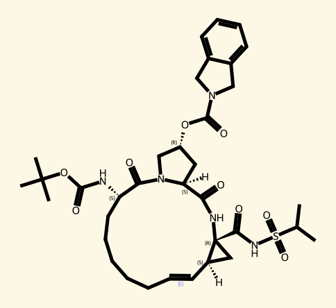 CC(C)S(=O)(=O)NC(=O)[C@@]12C[C@H]1/C=C/CCCCC[C@H](NC(=O)OC(C)(C)C)C(=O)N1C[C@H](OC(=O)N3Cc4ccccc4C3)C[C@H]1C(=O)N2